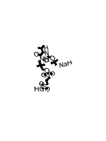 CC(C)[C@H](NC(=O)OC(C)(C)C)C(=O)NCC(C)(C)COS(=O)(=O)CCCS(=O)(=O)O.[NaH]